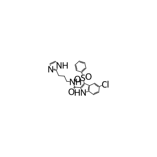 O=C(NCCCc1ncc[nH]1)c1[nH]c2ccc(Cl)cc2c1S(=O)(=O)c1ccccc1